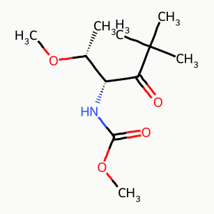 COC(=O)N[C@@H](C(=O)C(C)(C)C)[C@@H](C)OC